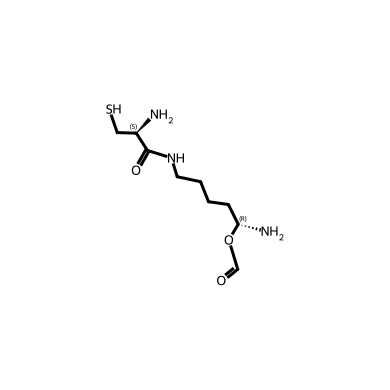 N[C@H](CS)C(=O)NCCCC[C@H](N)OC=O